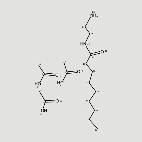 CC(=O)O.CC(=O)O.CC(=O)O.CCCCCCCCC(=O)NCCN